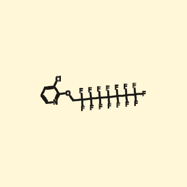 FC(F)(F)C(F)(F)C(F)(F)C(F)(F)C(F)(F)C(F)(F)C(F)(F)COc1ncccc1Cl